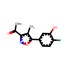 COC(=O)c1noc(-c2ccc(F)c(O)c2)c1C